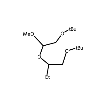 CCC(COC(C)(C)C)OC(COC(C)(C)C)OC